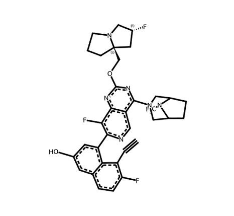 C#Cc1c(F)ccc2cc(O)cc(-c3ncc4c(N5CC6CCC(C5)N6C(F)(F)F)nc(OC[C@@]56CCCN5C[C@H](F)C6)nc4c3F)c12